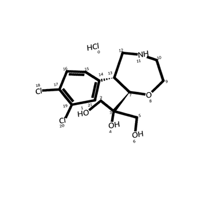 Cl.OCC(O)(CO)[C@@H]1OCCNC[C@H]1c1ccc(Cl)c(Cl)c1